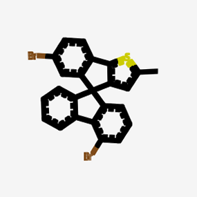 Cc1cc2c(s1)-c1ccc(Br)cc1C21c2ccccc2-c2c(Br)cccc21